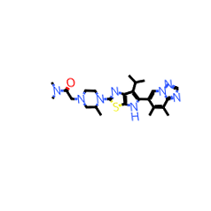 Cc1c(-c2[nH]c3sc(N4CCN(CC(=O)N(C)C)CC4C)nc3c2C(C)C)cn2ncnc2c1C